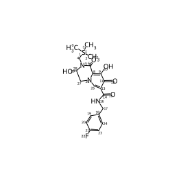 C[Si](C)(C)CN1C(=O)c2c(O)c(=O)c(C(=O)NCc3ccc(F)cc3)cn2CC1O